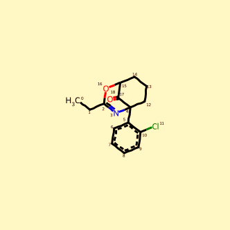 CCC1=NC2(c3ccccc3Cl)CCCC(O1)C2=O